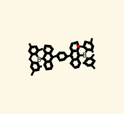 Cc1cc(C)c(B(c2c(C)cc(C)cc2C)c2c3ccccc3c(-c3ccc(-c4c5ccccc5c(B(c5c(C)cc(C)cc5C)c5c(C)cc(C)cc5C)c5ccccc45)cc3)c3ccccc23)c(C)c1